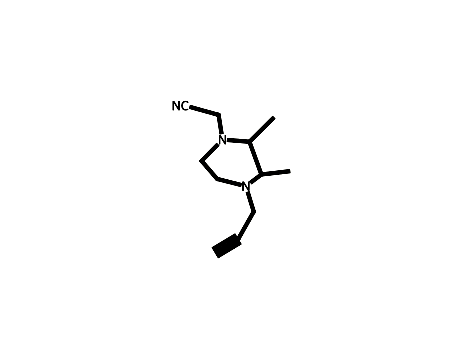 C#CCN1CCN(CC#N)C(C)C1C